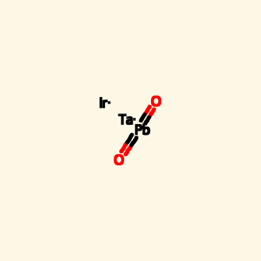 [Ir].[O]=[Pb]=[O].[Ta]